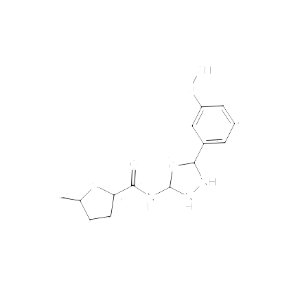 COc1cccc(C2NNC(NC(=O)C3CCC(Cl)S3)O2)c1